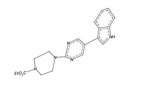 CCOC(=O)N1CCN(c2ncc(-c3c[nH]c4ccccc34)cn2)CC1